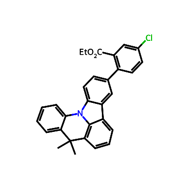 CCOC(=O)c1cc(Cl)ccc1-c1ccc2c(c1)c1cccc3c1n2-c1ccccc1C3(C)C